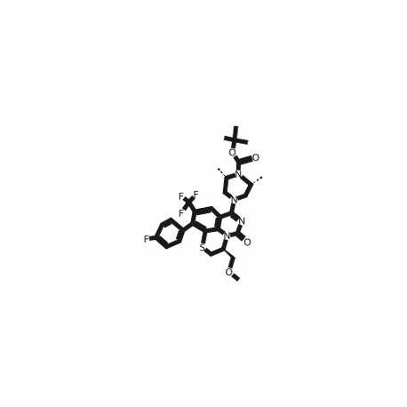 COC[C@H]1CSc2c(-c3ccc(F)cc3)c(C(F)(F)F)cc3c(N4C[C@@H](C)N(C(=O)OC(C)(C)C)[C@@H](C)C4)nc(=O)n1c23